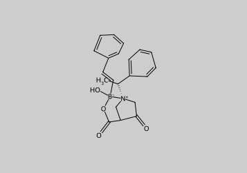 CC(c1ccccc1)[N@+]12CC(=O)C(C1)C(=O)O[B-]2(O)/C=C/c1ccccc1